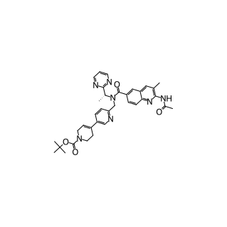 CC(=O)Nc1nc2ccc(C(=O)N(Cc3ccc(C4=CCN(C(=O)OC(C)(C)C)CC4)cn3)[C@H](C)c3ncccn3)cc2cc1C